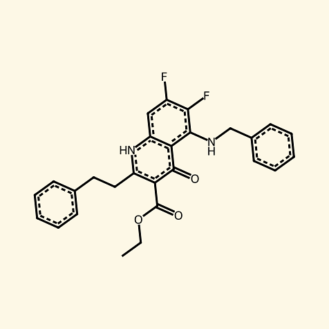 CCOC(=O)c1c(CCc2ccccc2)[nH]c2cc(F)c(F)c(NCc3ccccc3)c2c1=O